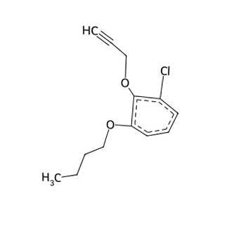 C#CCOc1c(Cl)cccc1OCCCC